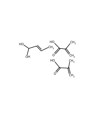 C=C(C)C(=O)O.C=C(C)C(=O)O.CC=CC(O)O